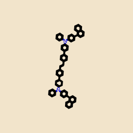 C1=C(c2ccc(/C=C/c3ccc(-c4ccc(N(c5ccccc5)c5ccc(-c6cccc7ccccc67)cc5)cc4)cc3)cc2)CCC(N(c2ccccc2)c2ccc(-c3cccc4ccccc34)cc2)=C1